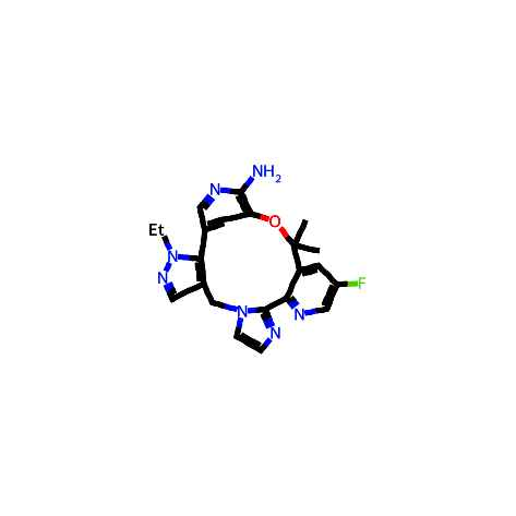 CCn1ncc2c1-c1cnc(N)c(c1)OC(C)(C)c1cc(F)cnc1-c1nccn1C2